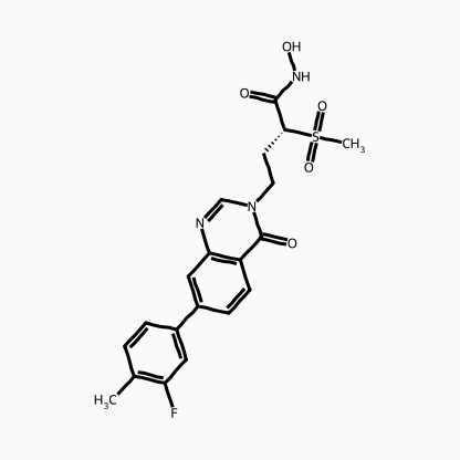 Cc1ccc(-c2ccc3c(=O)n(CC[C@H](C(=O)NO)S(C)(=O)=O)cnc3c2)cc1F